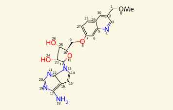 COCc1cnc2cc(OC[C@H]3O[C@@H](n4ccc5c(N)ncnc54)[C@H](O)[C@@H]3O)ccc2c1